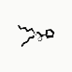 CCCCC[S+](CCCCC)CC(=O)c1ccccc1